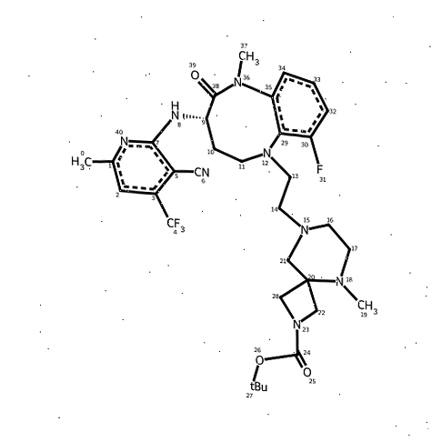 Cc1cc(C(F)(F)F)c(C#N)c(N[C@H]2CCN(CCN3CCN(C)C4(C3)CN(C(=O)OC(C)(C)C)C4)c3c(F)cccc3N(C)C2=O)n1